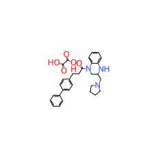 O=C(CCc1ccc(-c2ccccc2)cc1)N1CC(CN2CCCC2)Nc2ccccc21.O=C(O)C(=O)O